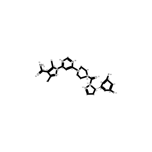 Cc1nn(-c2cc(N3CCN(C(=O)N4N=CC[C@H]4c4cc(F)cc(F)c4)CC3)ncn2)c(C)c1C(N)=O